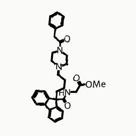 COC(=O)CNC(=O)C1(CCCCN2CCN(C(=O)Cc3ccccc3)CC2)c2ccccc2-c2ccccc21